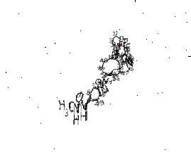 CNC(=O)Nc1ccc(S(=O)(=O)N2CCC(C3CCn4nc(C(F)(F)F)c(C(=O)N5CCCCC5)c4C34CCCCCCCCC4)CC2)cc1